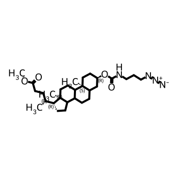 COC(=O)CC[C@@H](C)[C@H]1CCC2C3CCC4C[C@H](OC(=O)NCCCN=[N+]=[N-])CC[C@]4(C)C3CC[C@@]21C